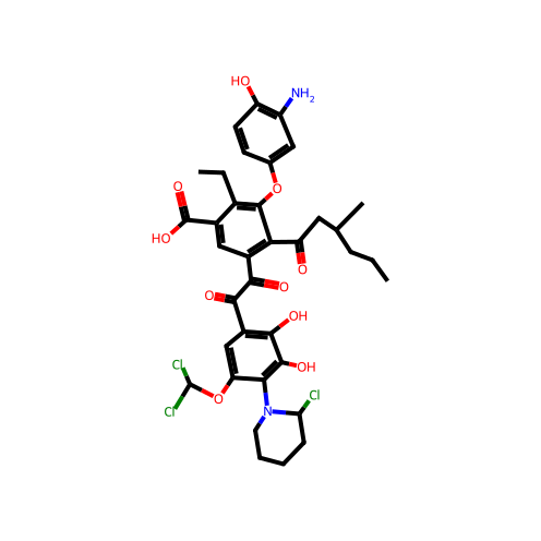 CCCC(C)CC(=O)c1c(C(=O)C(=O)c2cc(OC(Cl)Cl)c(N3CCCCC3Cl)c(O)c2O)cc(C(=O)O)c(CC)c1Oc1ccc(O)c(N)c1